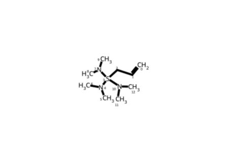 C=CCS(N(C)C)(N(C)C)N(C)C